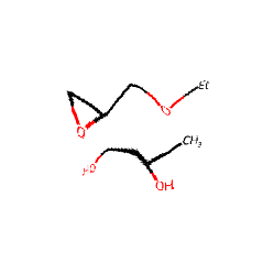 CC(O)CO.CCOCC1CO1